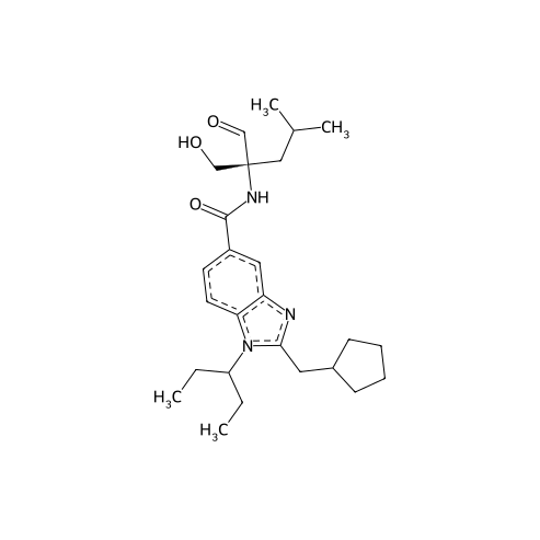 CCC(CC)n1c(CC2CCCC2)nc2cc(C(=O)N[C@@](C=O)(CO)CC(C)C)ccc21